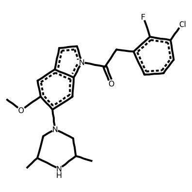 COc1cc2ccn(C(=O)Cc3cccc(Cl)c3F)c2cc1N1CC(C)NC(C)C1